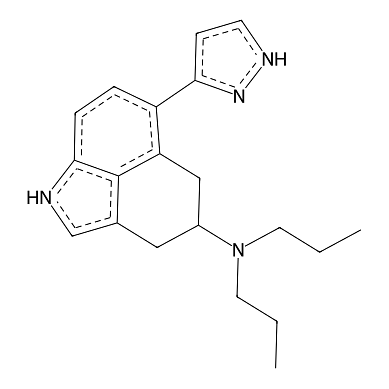 CCCN(CCC)C1Cc2c[nH]c3ccc(-c4cc[nH]n4)c(c23)C1